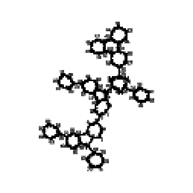 C1=CC2C(C=C1c1ccc3c(c1)c1cc(-c4ccccc4)ccc1n3-c1nc(-c3ccccc3)nc(-c3ccc4c5ccccc5c5ccccc5c4c3)n1)c1cc(-c3ccccc3)ccc1N2c1ccccc1